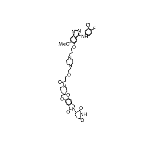 COc1cc2ncnc(Nc3ccc(F)c(Cl)c3)c2cc1OCCCN1CCN(CCOCCC(=O)N2CCC3(CC2)COc2cc4c(cc2O3)CN(C2CCC(=O)NC2=O)C4=O)CC1